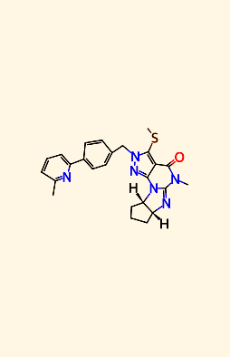 CSc1c2c(nn1Cc1ccc(-c3cccc(C)n3)cc1)N1C(=N[C@@H]3CCC[C@@H]31)N(C)C2=O